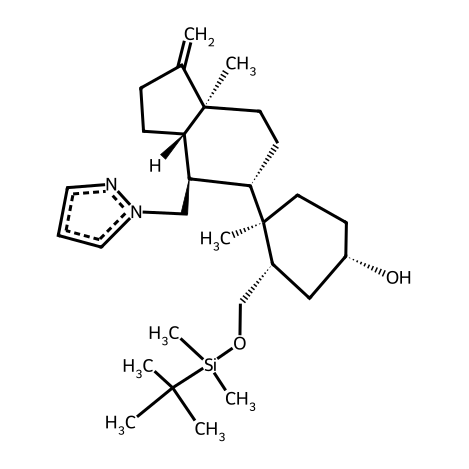 C=C1CC[C@H]2[C@H](Cn3cccn3)[C@@H]([C@@]3(C)CC[C@H](O)C[C@@H]3CO[Si](C)(C)C(C)(C)C)CC[C@]12C